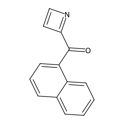 O=C(C1=NC=C1)c1cccc2ccccc12